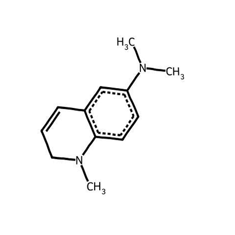 CN(C)c1ccc2c(c1)C=CCN2C